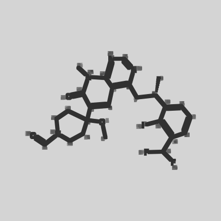 COC1(c2cc3c(C[C@H](C)c4cccc(C(F)F)c4F)ncnc3n(C)c2=O)CCN(C=O)CC1